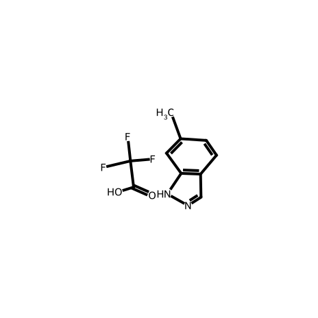 Cc1ccc2cn[nH]c2c1.O=C(O)C(F)(F)F